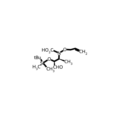 C=CCON(C(=O)O)[C@@H](C)[C@@H](C=O)O[Si](C)(C)C(C)(C)C